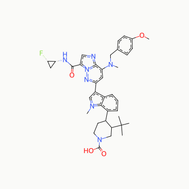 COc1ccc(CN(C)c2cc(-c3cn(C)c4c(C5CCN(C(=O)O)CC5C(C)(C)C)cccc34)nn3c(C(=O)N[C@@H]4C[C@@H]4F)cnc23)cc1